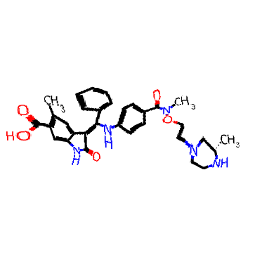 Cc1cc2c(cc1C(=O)O)NC(=O)/C2=C(\Nc1ccc(C(=O)N(C)OCCN2CCN[C@@H](C)C2)cc1)c1ccccc1